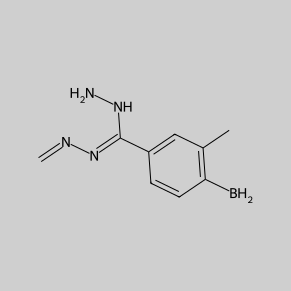 Bc1ccc(/C(=N/N=C)NN)cc1C